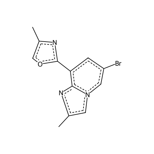 Cc1coc(-c2cc(Br)cn3cc(C)nc23)n1